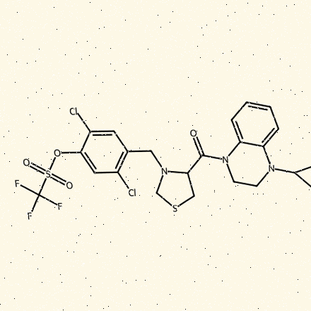 O=C(C1CSCN1Cc1cc(Cl)c(OS(=O)(=O)C(F)(F)F)cc1Cl)N1CCN(C2CC2)c2ccccc21